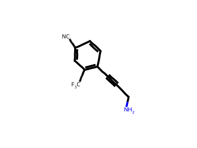 N#Cc1ccc(C#CCN)c(C(F)(F)F)c1